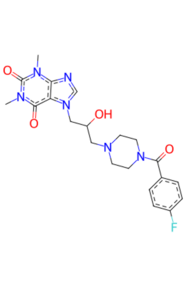 Cn1c(=O)c2c(ncn2CC(O)CN2CCN(C(=O)c3ccc(F)cc3)CC2)n(C)c1=O